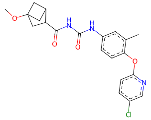 COC12CC(C1)C(C(=O)NC(=O)Nc1ccc(Oc3ccc(Cl)cn3)c(C)c1)C2